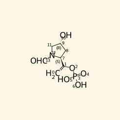 C=C(OP(=O)(O)O)[C@@H]1C[C@@H](O)CN1C=O